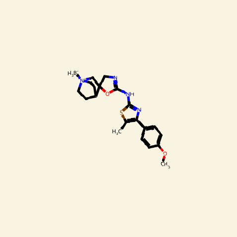 [BH3-][N+]12CCC(CC1)C1(CN=C(Nc3nc(-c4ccc(OC)cc4)c(C)s3)O1)C2